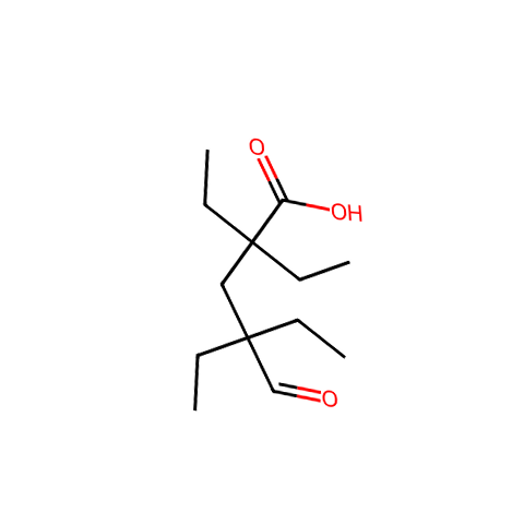 CCC(C=O)(CC)CC(CC)(CC)C(=O)O